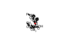 CCOC(=O)N1CCN(C(=O)[C@H](CCC(=O)O)NC(=O)c2cc(OCC(=O)N3CCC[C@H]3C(=O)NCCF)n(-c3ccccc3)n2)[C@@H](C)C1